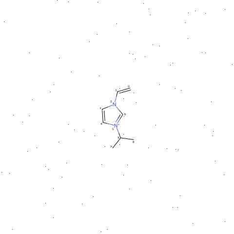 C=Cn1cc[n+](C(C)C)c1